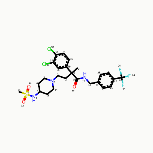 CC(CCN1CCC(NS(C)(=O)=O)CC1)(C(=O)NCc1ccc(C(F)(F)F)cc1)c1ccc(Cl)c(Cl)c1